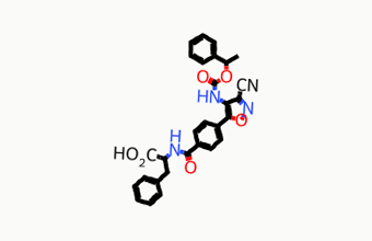 CC(OC(=O)Nc1c(C#N)noc1-c1ccc(C(=O)NC(Cc2ccccc2)C(=O)O)cc1)c1ccccc1